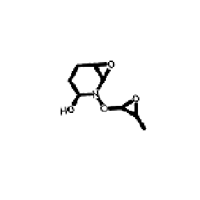 CC1OC1ON1C(O)CCC2OC21